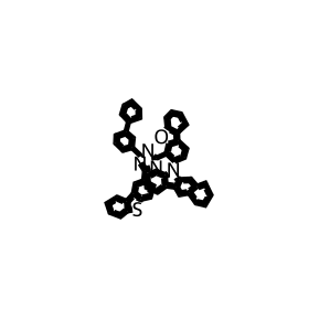 c1ccc(-c2cccc(-c3nc(-c4ccc5sc6ccccc6c5c4)nc(-c4c(-n5c6ccccc6c6cc7ccccc7cc65)ccc5c4oc4ccccc45)n3)c2)cc1